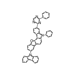 c1ccc(-c2ncnc(-c3ccc4c5c6oc7ccc(-n8c9ccccc9c9ccccc98)cc7c6ccc5n(-c5ccccc5)c4c3)n2)cc1